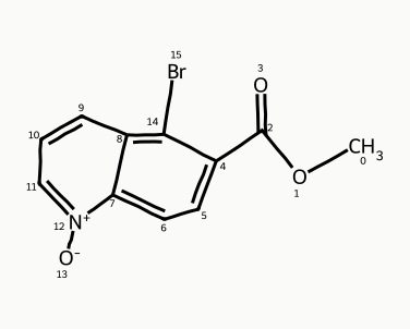 COC(=O)c1ccc2c(ccc[n+]2[O-])c1Br